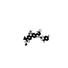 CCOC(=O)C1(c2ccc(-c3ccc(-c4sc(Cl)cc4NC(=O)O[C@H](C)c4ccc(F)cc4)cc3[N+](=O)[O-])cc2)CC1